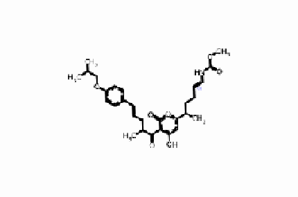 COC(=O)N/C=C/CCC(C)c1cc(O)c(C(=O)C(C)CC=Cc2ccc(OCC(C)C)cc2)c(=O)o1